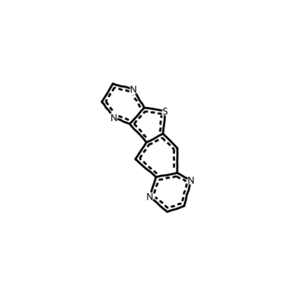 c1cnc2cc3c(cc2n1)sc1nccnc13